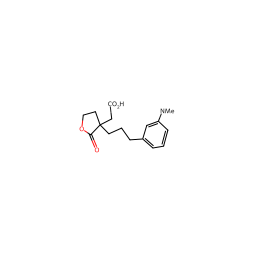 CNc1cccc(CCCC2(CC(=O)O)CCOC2=O)c1